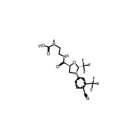 CN(CCNC(=O)[C@@H]1CN(c2ccc(C#N)c(C(F)(F)F)c2)[C@@H](C(F)(F)F)O1)C(=O)O